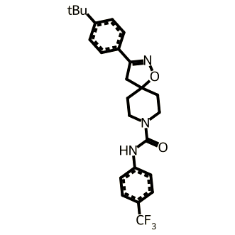 CC(C)(C)c1ccc(C2=NOC3(CCN(C(=O)Nc4ccc(C(F)(F)F)cc4)CC3)C2)cc1